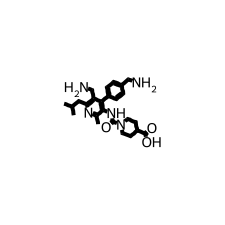 Cc1nc(CC(C)C)c(CN)c(-c2ccc(CN)cc2)c1NC(=O)N1CCC(C(=O)O)CC1